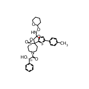 Cc1ccc(-c2ccc(C3(CC(=O)NOC4CCCCO4)CCN(C(=O)[C@@H](O)c4ccccc4)CCS3(=O)=O)s2)cc1